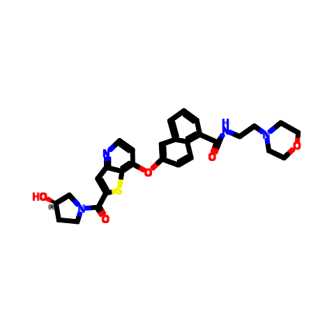 O=C(NCCN1CCOCC1)c1cccc2cc(Oc3ccnc4cc(C(=O)N5CC[C@@H](O)C5)sc34)ccc12